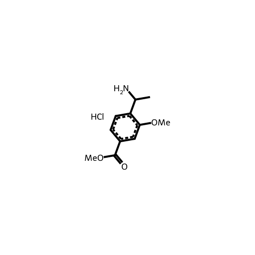 COC(=O)c1ccc(C(C)N)c(OC)c1.Cl